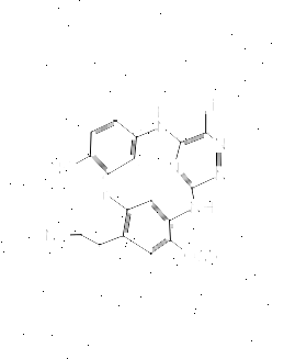 COc1cc(CCC#N)c(Br)cc1Nc1nnc(Cl)c(Nc2ccc(C#N)cc2)n1